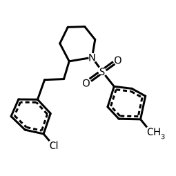 Cc1ccc(S(=O)(=O)N2CCCCC2CCc2cccc(Cl)c2)cc1